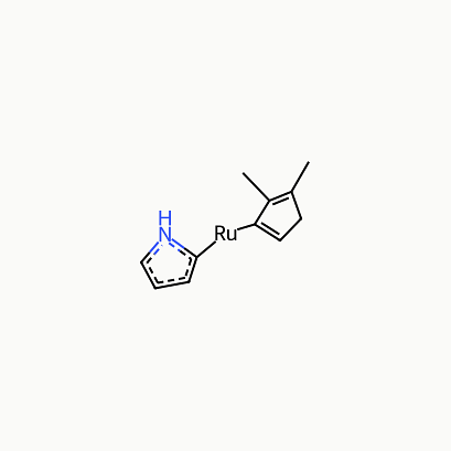 CC1=C(C)[C]([Ru][c]2ccc[nH]2)=CC1